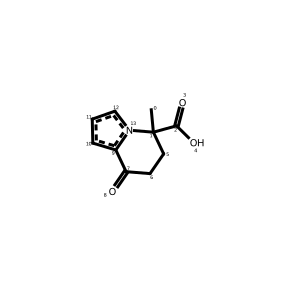 CC1(C(=O)O)CCC(=O)c2cccn21